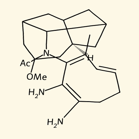 COC1CC2CC3CC(C[C@H]3C1)C2N(C(C)=O)C1=C(C)/C=C/CC/C(N)=C\1N